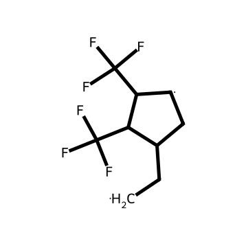 [CH2]CC1C[CH]C(C(F)(F)F)C1C(F)(F)F